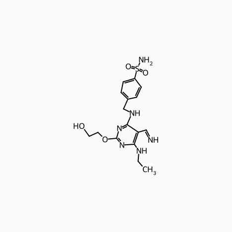 CCNc1nc(OCCO)nc(NCc2ccc(S(N)(=O)=O)cc2)c1C=N